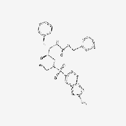 Cc1nc2ccc(S(=O)(=O)N(CC(C)C)C[C@@H](O)[C@H](Cc3ccccc3)NC(=O)OCc3cccnc3)cc2o1